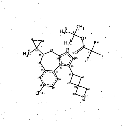 CC(C)(C)OC(=O)C(F)(F)F.CC1(N2Cc3cc(Cl)ccc3-n3c(nnc3C3CC4(CNC4)C3)C2)CC1